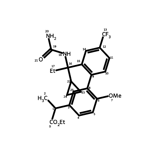 CCOC(=O)C(C)c1ccc(OC)c(-c2ccc(C(F)(F)F)cc2C(CC)(NC(N)=O)C2CC2)c1